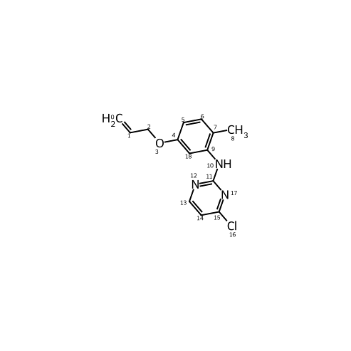 C=CCOc1ccc(C)c(Nc2nccc(Cl)n2)c1